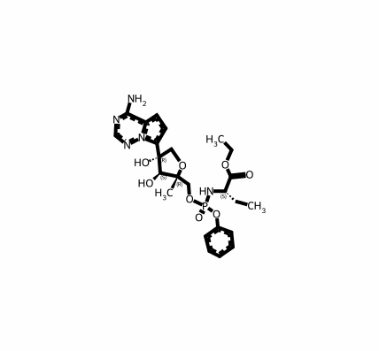 CCOC(=O)[C@H](CC)NP(=O)(OC[C@@]1(C)OC[C@](O)(c2ccc3c(N)ncnn23)[C@@H]1O)Oc1ccccc1